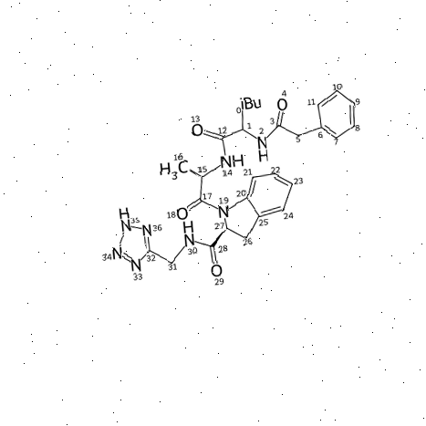 CCC(C)C(NC(=O)Cc1ccccc1)C(=O)NC(C)C(=O)N1c2ccccc2C[C@H]1C(=O)NCc1nn[nH]n1